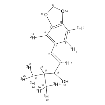 [2H]/C(=C\c1c([2H])c([2H])c2c(c1[2H])OCO2)C(O)C(C)(C([2H])([2H])[2H])C([2H])([2H])[2H]